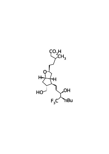 CCCC[C@H]([C@H](O)/C=C/[C@H]1[C@H](CO)C[C@@H]2O[C@@H](CCC(C)CC(=O)O)C[C@H]12)C(F)(F)F